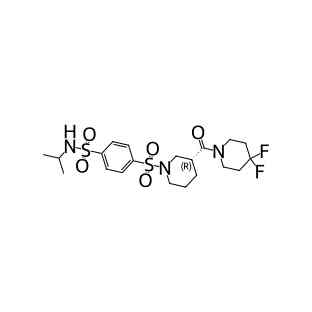 CC(C)NS(=O)(=O)c1ccc(S(=O)(=O)N2CCC[C@@H](C(=O)N3CCC(F)(F)CC3)C2)cc1